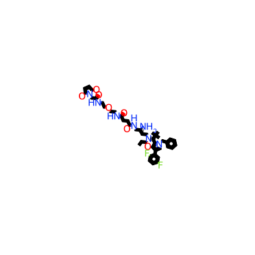 CCC(=O)N(CC[C@H](N)CNC(=O)CCC(=O)NCCOCCNC(=O)CN1C(=O)C=CC1=O)[C@@H](c1cc(-c2cc(F)ccc2F)cn1Cc1ccccc1)C(C)(C)C